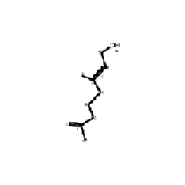 C=C(C)CCC/C(C)=C/CO